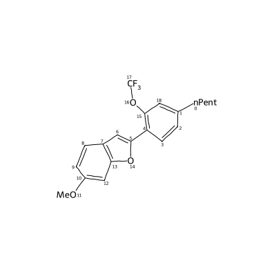 CCCCCc1ccc(-c2cc3ccc(OC)cc3o2)c(OC(F)(F)F)c1